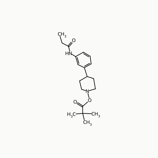 CCC(=O)Nc1cccc(C2CCN(OC(=O)C(C)(C)C)CC2)c1